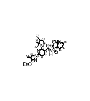 CCOc1nn(-c2ccc(C(=O)NS(=O)(=O)c3ccc[nH]c3=O)c(N3CCC(C)C3(C)C)n2)cc1C